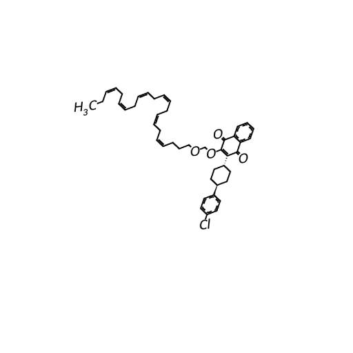 CC/C=C\C/C=C\C/C=C\C/C=C\C/C=C\C/C=C\CCCOCOC1=C([C@H]2CC[C@H](c3ccc(Cl)cc3)CC2)C(=O)c2ccccc2C1=O